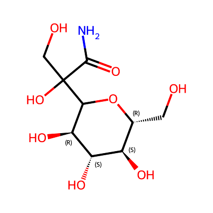 NC(=O)C(O)(CO)C1O[C@H](CO)[C@@H](O)[C@H](O)[C@H]1O